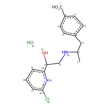 CC(Cc1ccc(C(=O)O)cc1)NCC(O)c1cccc(Cl)n1.Cl